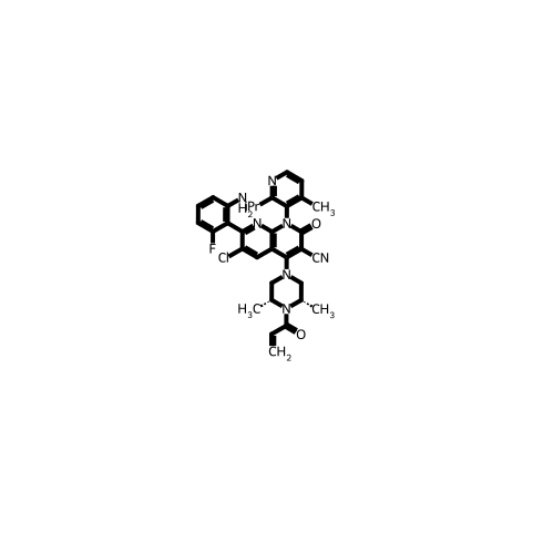 C=CC(=O)N1[C@H](C)CN(c2c(C#N)c(=O)n(-c3c(C)ccnc3C(C)C)c3nc(-c4c(N)cccc4F)c(Cl)cc23)C[C@@H]1C